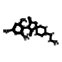 Cc1cc(C)c(C2C(=O)OC3(CCC(OCC(F)(F)F)CC3)C2=O)c(C)c1